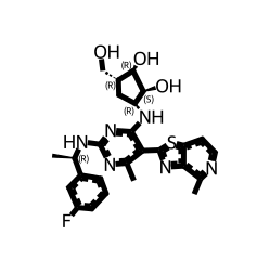 Cc1nc(N[C@H](C)c2cccc(F)c2)nc(N[C@@H]2C[C@H](CO)[C@@H](O)[C@H]2O)c1-c1nc2c(C)nccc2s1